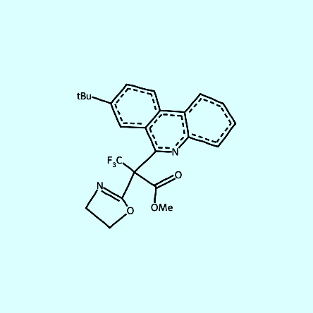 COC(=O)C(C1=NCCO1)(c1nc2ccccc2c2ccc(C(C)(C)C)cc12)C(F)(F)F